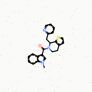 Cn1cc(C(=O)N2CCc3ccsc3C2Cc2ccccn2)c2ccccc21